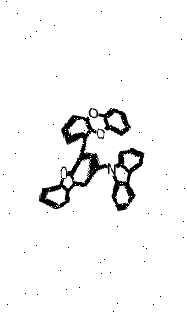 c1ccc2c(c1)Oc1cccc(-c3cc(-n4c5ccccc5c5ccccc54)cc4c3oc3ccccc34)c1O2